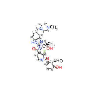 CN1CCN(Cc2ccc3[nH]/c(=N\C(=O)c4ccnc(Oc5cccc(O)c5C=O)c4F)n(CC(C)(C)O)c3c2)CC1